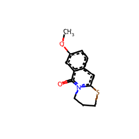 COc1ccc2cc3n(c(=O)c2c1)CCCS3